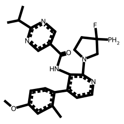 COc1ccc(-c2ccnc(N3CCC(F)(P)C3)c2NC(=O)c2cnc(C(C)C)nc2)c(C)c1